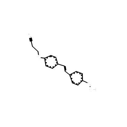 CSc1ccc(C=Cc2ccc(SCCC#N)cc2)cc1